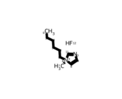 CCCCCC[N+]1(C)C=CN=C1.F